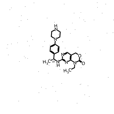 CCN1C(=O)OCc2cnc(N[C@@H](C)c3ccc(N4CCNCC4)cc3)nc21